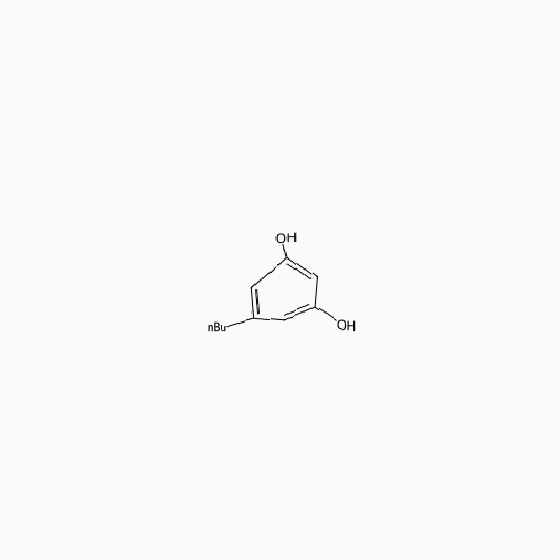 C[CH]CCc1cc(O)cc(O)c1